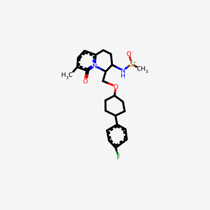 Cc1ccc2n(c1=O)C(COC1CCC(c3ccc(F)cc3)CC1)C(N[S+](C)[O-])CC2